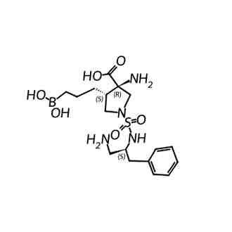 NC[C@H](Cc1ccccc1)NS(=O)(=O)N1C[C@H](CCCB(O)O)[C@](N)(C(=O)O)C1